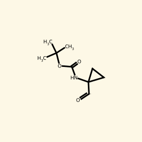 CC(C)(C)OC(=O)NC1([C]=O)CC1